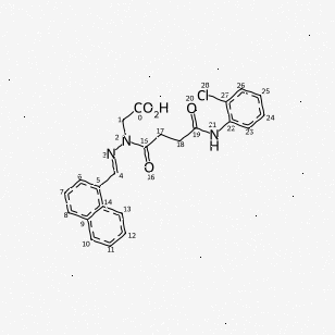 O=C(O)CN(N=Cc1cccc2ccccc12)C(=O)CCC(=O)Nc1ccccc1Cl